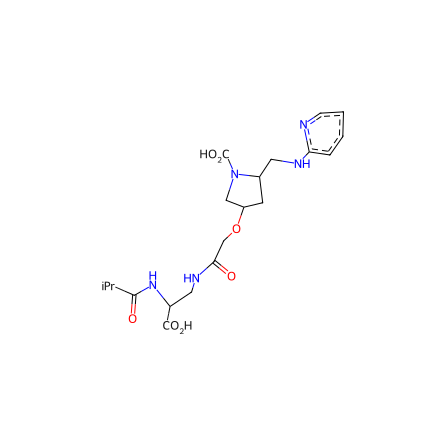 CC(C)C(=O)NC(CNC(=O)COC1CC(CNc2ccccn2)N(C(=O)O)C1)C(=O)O